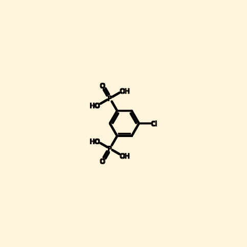 O=P(O)(O)c1cc(Cl)cc(P(=O)(O)O)c1